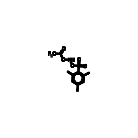 Cc1cc(C)c(S(=O)(=O)ONOC(=O)C(F)(F)F)c(C)c1